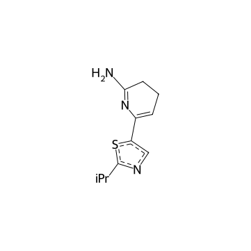 CC(C)c1ncc(C2=CCCC(N)=N2)s1